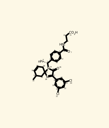 CCC[C@H](c1ccc(C(=O)NCCC(=O)O)cc1)N1C(=O)C(c2cc(Cl)cc(Cl)c2)=NC12CC=CC(C)C2